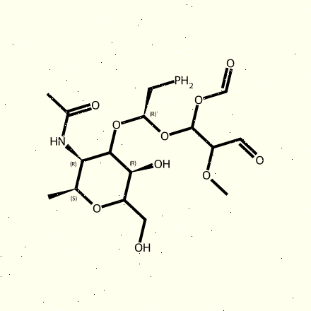 COC(C=O)C(OC=O)O[C@H](CP)OC1[C@@H](O)C(CO)O[C@@H](C)[C@H]1NC(C)=O